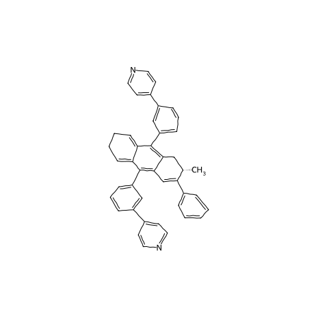 C[C@H]1Cc2c(c(-c3cccc(-c4ccncc4)c3)c3c(c2-c2cccc(-c4ccncc4)c2)=CCCC=3)C=C1c1ccccc1